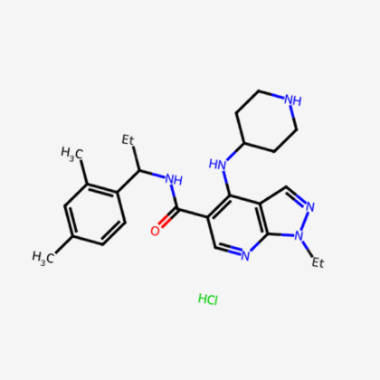 CCC(NC(=O)c1cnc2c(cnn2CC)c1NC1CCNCC1)c1ccc(C)cc1C.Cl